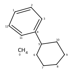 C.c1ccc(C2CCCCC2)cc1